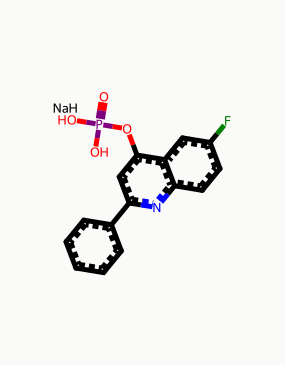 O=P(O)(O)Oc1cc(-c2ccccc2)nc2ccc(F)cc12.[NaH]